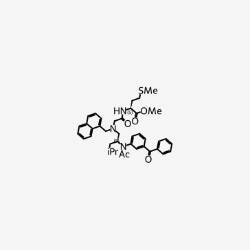 COC(=O)[C@H](CCSC)NC(=O)CN(Cc1cccc2ccccc12)C[C@H](CC(C)C)N(C(C)=O)c1cccc(C(=O)c2ccccc2)c1